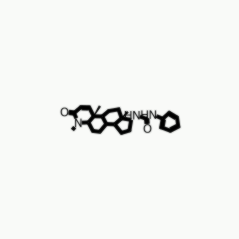 CN1C(=O)C=C[C@]2(C)C3CC[C@]4(C)C(NC(=O)Nc5ccccc5)CCC4C3CCC12